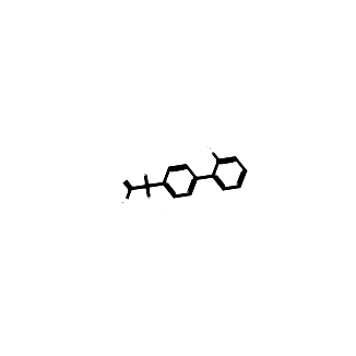 CC(C)(C(N)=O)c1ccc(-c2ccccc2[N+](=O)[O-])cc1